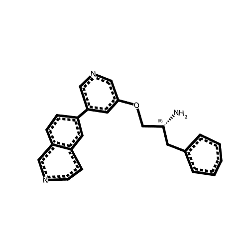 N[C@@H](COc1cncc(-c2ccc3cnccc3c2)c1)Cc1ccccc1